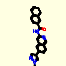 Cn1cc(-c2ccc3cnc(NC(=O)c4ccc5c(c4)CCC=C5)cc3c2)cn1